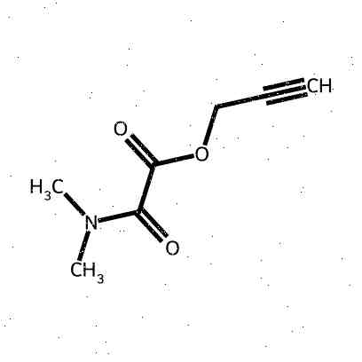 C#CCOC(=O)C(=O)N(C)C